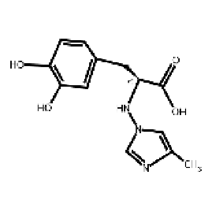 Cc1cn(N[C@@H](Cc2ccc(O)c(O)c2)C(=O)O)cn1